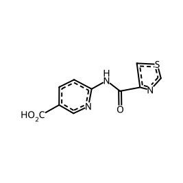 O=C(O)c1ccc(NC(=O)c2cscn2)nc1